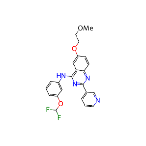 COCCOc1ccc2nc(-c3cccnc3)nc(Nc3cccc(OC(F)F)c3)c2c1